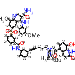 COc1cccc(Nc2c(C(N)=O)cnc3c(C)cc(S(=O)(=O)c4cccc(C(=O)Nc5cccc(C#CCCCNCC(O[Si](C)(C)C(C)(C)C)c6ccc(O)c7[nH]c(=O)ccc67)c5)c4)cc23)c1